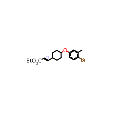 CCOC(=O)/C=C/C1CCC(Oc2ccc(Br)c(C)c2)CC1